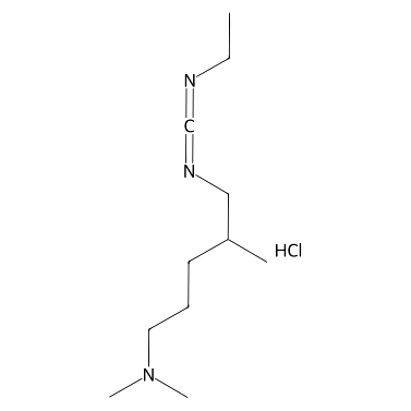 CCN=C=NCC(C)CCCN(C)C.Cl